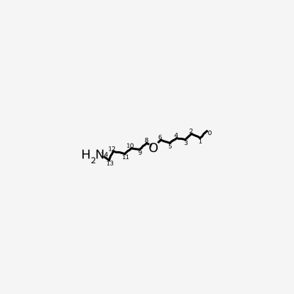 CCCCCCCOCCCCCCN